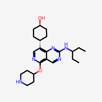 CCC(CC)Nc1ncc2c(OC3CCNCC3)ncc([C@H]3CC[C@H](O)CC3)c2n1